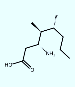 CCC[C@@H](C)[C@H](C)[C@H](N)CC(=O)O